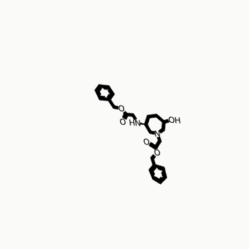 O=C(CN[C@H]1CCC(O)CN(CC(=O)OCc2ccccc2)C1)OCc1ccccc1